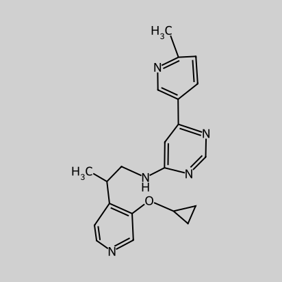 Cc1ccc(-c2cc(NCC(C)c3ccncc3OC3CC3)ncn2)cn1